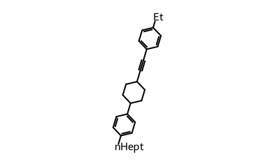 CCCCCCCc1ccc(C2CCC(C#Cc3ccc(CC)cc3)CC2)cc1